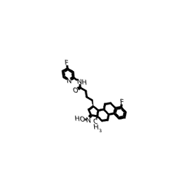 C[C@]12CCC3c4cccc(F)c4CCC3C1[C@H](CCCC(=O)Nc1cc(F)ccn1)C/C2=N\O